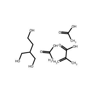 C=C(C)C(=O)O.CC(=O)O.CC(=O)O.OCCC(CO)CO